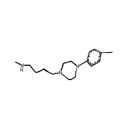 CNCCCCN1CCN(c2ccc(C)cc2)CC1